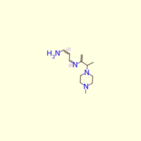 C=C(/N=C\C=C/N)C(C)N1CCN(C)CC1